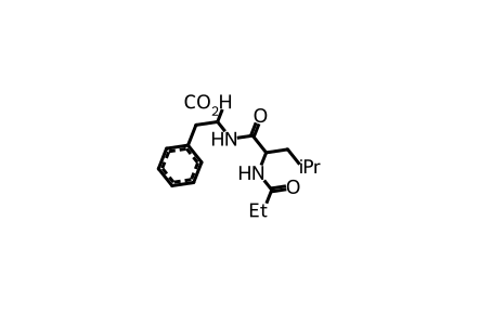 CCC(=O)NC(CC(C)C)C(=O)NC(Cc1ccccc1)C(=O)O